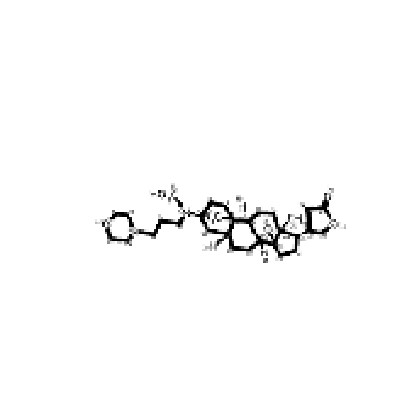 C[C@]12CC[C@H](N(CCCN3CCOCC3)C(=O)O)C[C@H]1CC[C@@H]1[C@@H]2CC[C@]2(C)[C@@H](C3=CC(=O)OC3)CC[C@]12O